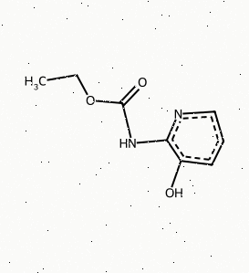 CCOC(=O)Nc1ncccc1O